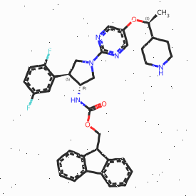 C[C@H](Oc1cnc(N2C[C@H](NC(=O)OCC3c4ccccc4-c4ccccc43)[C@@H](c3cc(F)ccc3F)C2)nc1)C1CCNCC1